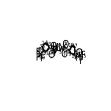 CC(C)(CNS(=O)(=O)c1ccc(OC(F)(F)F)cc1)S(=O)(=O)c1cccc(C(F)(F)F)c1